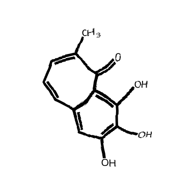 Cc1cccc2cc(O)c(O)c(O)c2c1=O